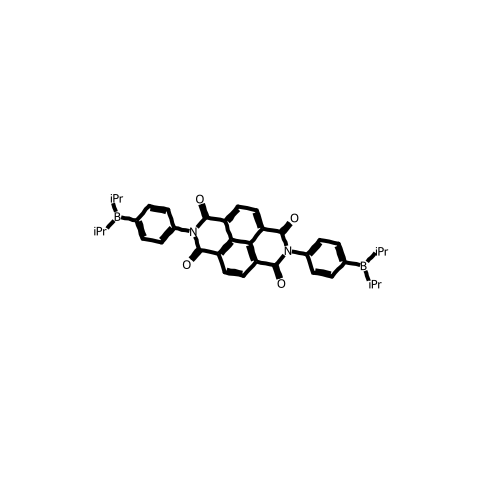 CC(C)B(c1ccc(N2C(=O)c3ccc4c5c(ccc(c35)C2=O)C(=O)N(c2ccc(B(C(C)C)C(C)C)cc2)C4=O)cc1)C(C)C